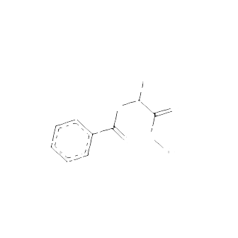 CCCCCOC(=O)C(CC)OC(=O)c1ccccc1